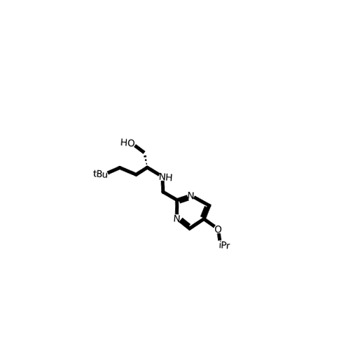 CC(C)Oc1cnc(CN[C@@H](CO)CCC(C)(C)C)nc1